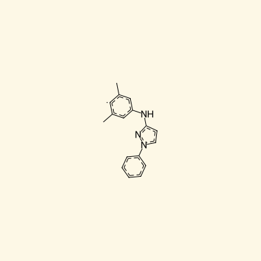 Cc1[c]c(C)cc(Nc2ccn(-c3ccccc3)n2)c1